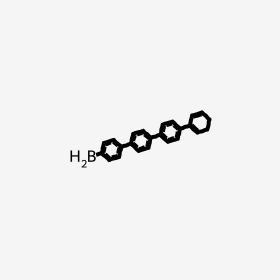 Bc1ccc(-c2ccc(-c3ccc(C4=CCCC=C4)cc3)cc2)cc1